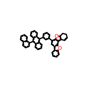 C1=Cc2c(oc3c(-c4cccc(-c5c6ccccc6c(-c6cccc7ccccc67)c6ccccc56)c4)cc4c5ccccc5oc4c23)CC1